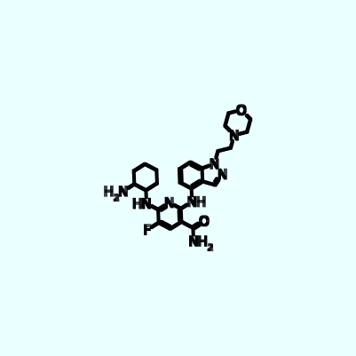 NC(=O)c1cc(F)c(NC2CCCCC2N)nc1Nc1cccc2c1cnn2CCN1CCOCC1